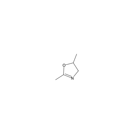 CC1=NCC(C)O1